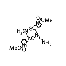 COC(=O)c1cccc(CN2CCN(C)CCN(Cc3cccc(C(=O)OC)n3)CCN(CCCN)CC2)n1